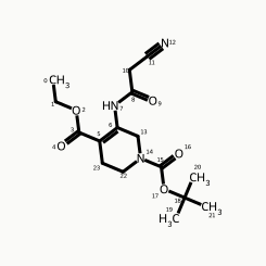 CCOC(=O)C1=C(NC(=O)CC#N)CN(C(=O)OC(C)(C)C)CC1